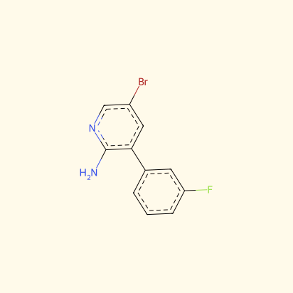 Nc1ncc(Br)cc1-c1cccc(F)c1